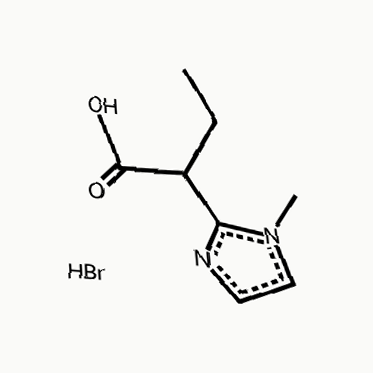 Br.CCC(C(=O)O)c1nccn1C